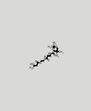 C[C@@H](O)CC(=O)SCCNC(=O)C=CNC(=O)[C@@H]1OC(C)(C)OCC1(C)C